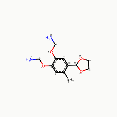 Bc1cc(OCN)c(OCN)cc1C1OCCO1